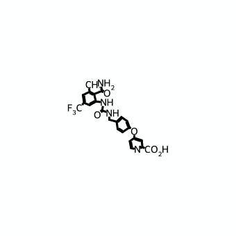 Cc1cc(C(F)(F)F)cc(NC(=O)NCc2ccc(Oc3ccnc(C(=O)O)c3)cc2)c1C(N)=O